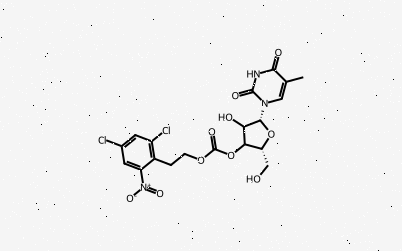 Cc1cn([C@@H]2O[C@H](CO)C(OC(=O)OCCc3c(Cl)cc(Cl)cc3[N+](=O)[O-])C2O)c(=O)[nH]c1=O